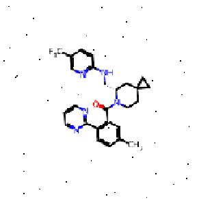 Cc1ccc(-c2ncccn2)c(C(=O)N2CCC3(CC3)C[C@H]2CNc2ccc(C(F)(F)F)cn2)c1